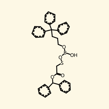 O=C(CSOB(O)OCCCC(c1ccccc1)(c1ccccc1)c1ccccc1)OC(c1ccccc1)c1ccccc1